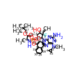 C#C[C@@]1(F)[C@H](O)[C@@H](CO[P@@](=O)(N[C@H](C)C(=O)OCC(C)(C)C)Oc2cccc3ccccc23)O[C@H]1n1cnc2c(N(C)C3CC3)nc(N)nc21